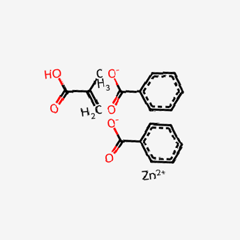 C=C(C)C(=O)O.O=C([O-])c1ccccc1.O=C([O-])c1ccccc1.[Zn+2]